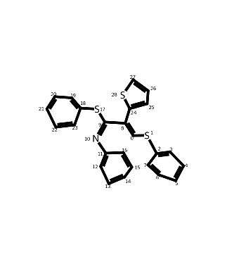 C(/Sc1ccccc1)=C(\C(=N/c1ccccc1)Sc1ccccc1)c1cccs1